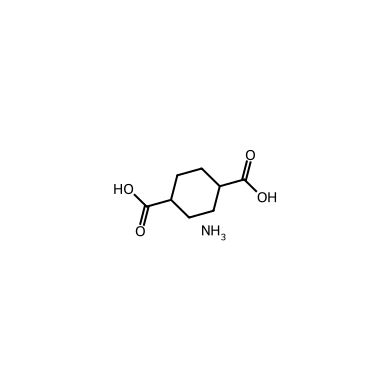 N.O=C(O)C1CCC(C(=O)O)CC1